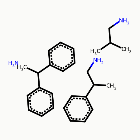 CC(C)CN.CC(CN)c1ccccc1.CC(c1ccccc1)c1ccccc1.N